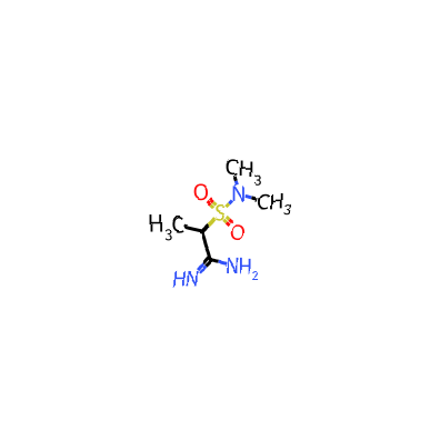 CC(C(=N)N)S(=O)(=O)N(C)C